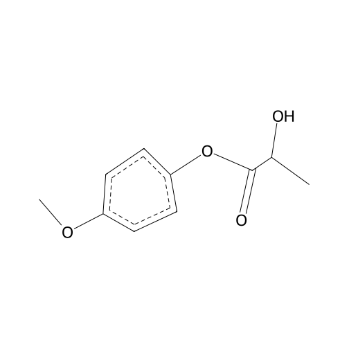 COc1ccc(OC(=O)C(C)O)cc1